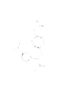 CC(C)c1cnc(N(Cc2ccc(C[SH](=O)=O)cc2)C(N)=O)s1